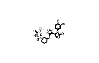 CC(C)(C)OC(=O)NS(=O)(=O)N1CCCC(Sc2nonc2-c2noc(=O)n2-c2ccc(F)c(Br)c2)C1